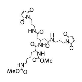 COC(=O)NCCCCC(NC(=O)OC)C(=O)NC(CC(=O)NCCCN1C(=O)C=CC1=O)CC(=O)NCCCN1C(=O)C=CC1=O